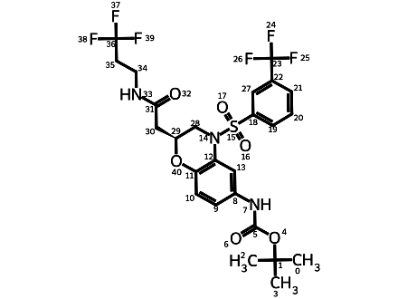 CC(C)(C)OC(=O)Nc1ccc2c(c1)N(S(=O)(=O)c1cccc(C(F)(F)F)c1)C[C@H](CC(=O)NCCC(F)(F)F)O2